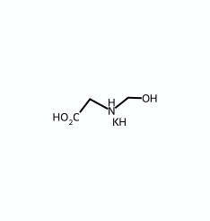 O=C(O)CNCO.[KH]